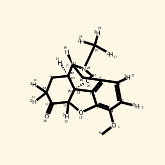 [2H]c1c([2H])c(OC)c2c3c1C[C@@H]1[C@@H]4CC([2H])([2H])C(=O)C([2H])(O2)[C@]34CCN1C([2H])([2H])[2H]